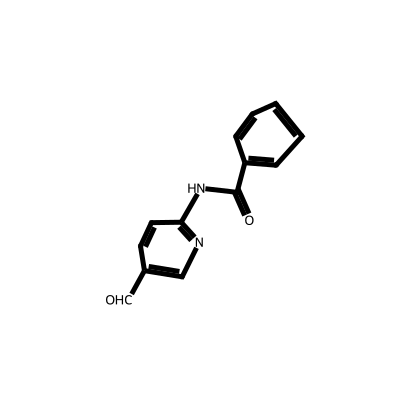 O=Cc1ccc(NC(=O)c2ccccc2)nc1